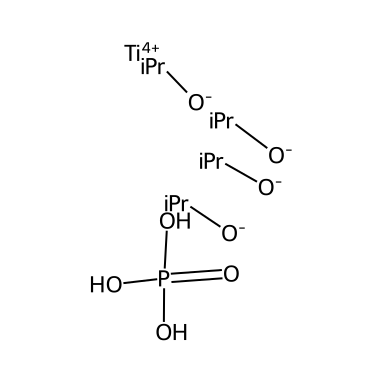 CC(C)[O-].CC(C)[O-].CC(C)[O-].CC(C)[O-].O=P(O)(O)O.[Ti+4]